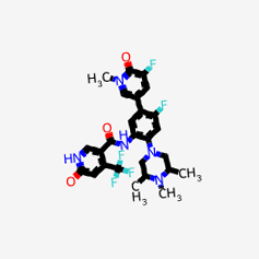 CC1CN(c2cc(F)c(-c3cc(F)c(=O)n(C)c3)cc2NC(=O)c2c[nH]c(=O)cc2C(F)(F)F)CC(C)N1C